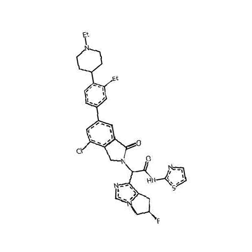 CCc1cc(-c2cc(Cl)c3c(c2)C(=O)N(C(C(=O)Nc2nccs2)c2ncn4c2C[C@@H](F)C4)C3)ccc1C1CCN(CC)CC1